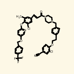 Cc1cc(C=CC(=O)N2CCN(Cc3ccc(CCOc4ccc(C#N)cc4)cc3)CC2)cc(Cl)c1Oc1ccc(OCc2ccc(C(F)(F)F)cc2)cn1.Cl